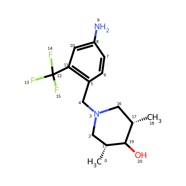 C[C@@H]1CN(Cc2ccc(N)cc2C(F)(F)F)C[C@H](C)C1O